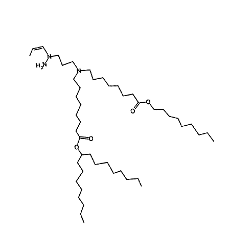 C/C=C\N(N)CCCN(CCCCCCCC(=O)OCCCCCCCCC)CCCCCCCC(=O)OC(CCCCCCCC)CCCCCCCC